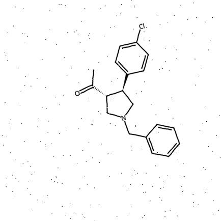 CC(=O)[C@H]1CN(Cc2ccccc2)C[C@@H]1c1ccc(Cl)cc1